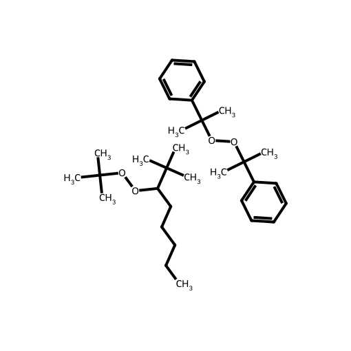 CC(C)(OOC(C)(C)c1ccccc1)c1ccccc1.CCCCCC(OOC(C)(C)C)C(C)(C)C